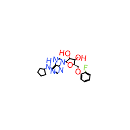 O[C@@H]1[C@H](O)[C@H](n2cnc3c(NC4CCCC4)ncnc32)O[C@@H]1COc1ccccc1F